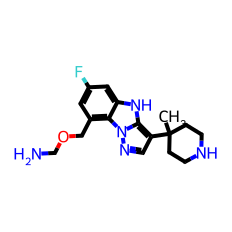 CC1(c2cnn3c2[nH]c2cc(F)cc(COCN)c23)CCNCC1